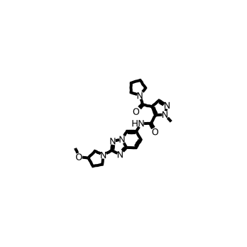 COC1CCN(c2nc3ccc(NC(=O)c4c(C(=O)N5CCCC5)cnn4C)cn3n2)C1